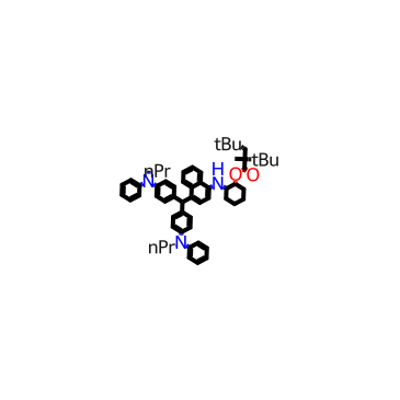 CCCN(c1ccccc1)c1ccc(C(c2ccc(N(CCC)c3ccccc3)cc2)c2ccc(NC3CCCCC3OC(=O)C(C)(CC(C)(C)C)C(C)(C)C)c3ccccc23)cc1